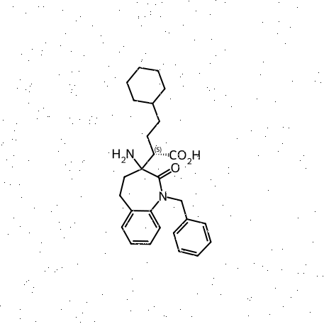 NC1([C@H](CCC2CCCCC2)C(=O)O)CCc2ccccc2N(Cc2ccccc2)C1=O